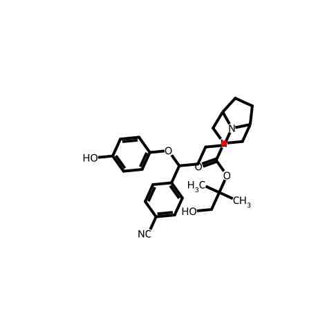 CC(C)(CO)OC(=O)N1CC2CCC(C1)N2CCCC(Oc1ccc(O)cc1)c1ccc(C#N)cc1